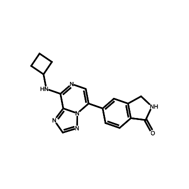 O=C1NCc2cc(-c3cnc(NC4CCC4)c4ncnn34)ccc21